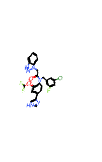 O=C(Cn1nnc2ccccc21)N(Cc1cc(F)cc(Cl)c1)c1ccc(-c2c[nH]cn2)cc1OC(F)F